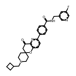 O=C(NCc1cncc(F)c1)c1ccc(-c2ccc3c(n2)C(=O)CC2(CCN(CC4CCC4)CC2)O3)cc1